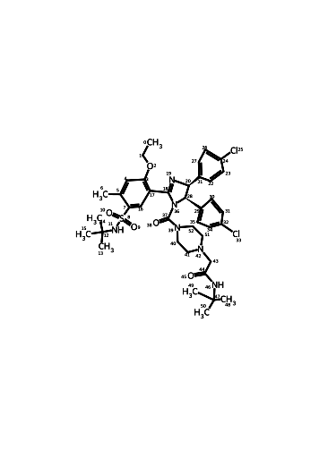 CCOc1cc(C)c(S(=O)(=O)NC(C)(C)C)cc1C1=N[C@@H](c2ccc(Cl)cc2)[C@@H](c2ccc(Cl)cc2)N1C(=O)N1CCN(CC(=O)NC(C)(C)C)CC1